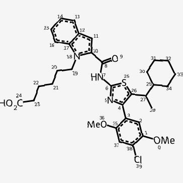 COc1cc(-c2nc(NC(=O)c3cc4ccccc4n3CCCCCC(=O)O)sc2C(C)C2CCCCC2)c(OC)cc1Cl